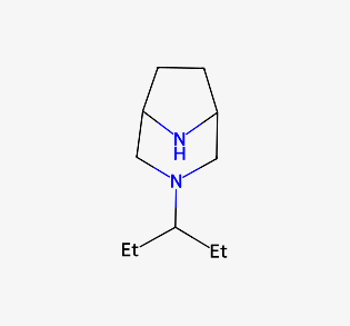 CCC(CC)N1CC2CCC(C1)N2